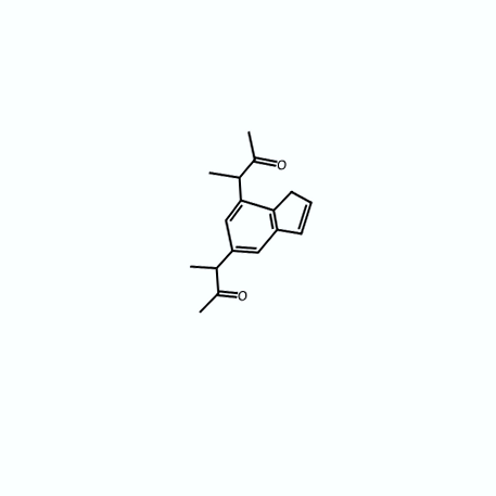 CC(=O)C(C)c1cc2c(c(C(C)C(C)=O)c1)CC=C2